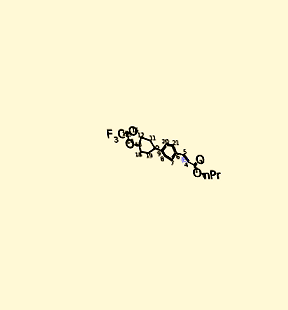 CCCOC(=O)/C=C/c1ccc(C2CCC(OC(=O)C(F)(F)F)CC2)cc1